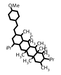 COC1CCC(CCC2CC(C(C)C)C3CC4(C)CC5(C)CC(C)C(C(C)C)C(C)C5(C)C(C)C4C(C)C3C2C)CC1